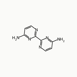 Nc1ccnc(-c2nccc(N)n2)n1